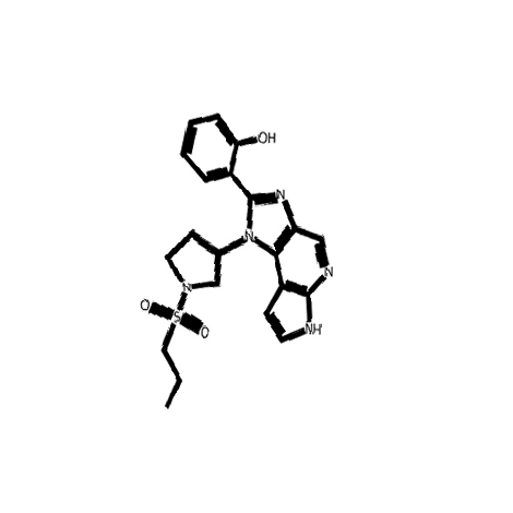 CCCS(=O)(=O)N1CCC(n2c(-c3ccccc3O)nc3cnc4[nH]ccc4c32)C1